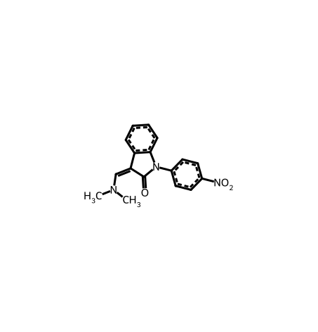 CN(C)/C=C1\C(=O)N(c2ccc([N+](=O)[O-])cc2)c2ccccc21